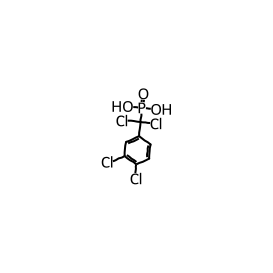 O=P(O)(O)C(Cl)(Cl)c1ccc(Cl)c(Cl)c1